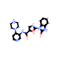 O=C(Nc1cnccc1N1CCNCC1)c1cnc(-n2c(=O)[nH]c3ccccc32)o1